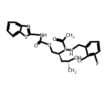 [CH2][C@@H](O)C[C@@H](COC(=O)Nc1nc2ccccc2s1)N(NCc1cccc(F)c1Cl)C(C)=O